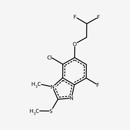 CSc1nc2c(F)cc(OCC(F)F)c(Cl)c2n1C